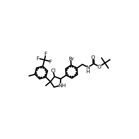 Cc1cc(C(F)(F)F)cc(C2(C)CNC(c3ccc(CNC(=O)OC(C)(C)C)c(Br)c3)C2Cl)c1